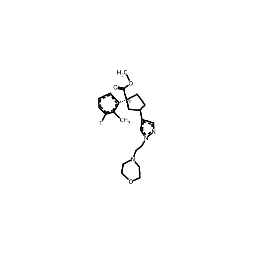 COC(=O)[C@@]1(c2cccc(F)c2C)CCC(c2cnn(CCN3CCOCC3)c2)C1